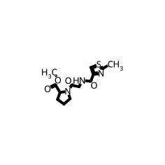 COC(=O)C1CCCN1C(=O)CNC(=O)c1csc(C)n1